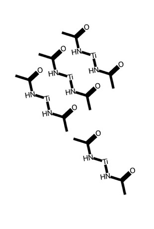 CC(=O)[NH][Ti][NH]C(C)=O.CC(=O)[NH][Ti][NH]C(C)=O.CC(=O)[NH][Ti][NH]C(C)=O.CC(=O)[NH][Ti][NH]C(C)=O